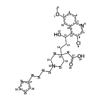 COc1ccc2ncc(Cl)c(C(O)CCC3(CC(=O)O)CCN(CCCCc4ccsc4)CC3)c2c1